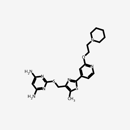 Cc1sc(-c2ccnc(OCCN3CCCCC3)c2)nc1CSc1nc(N)cc(N)n1